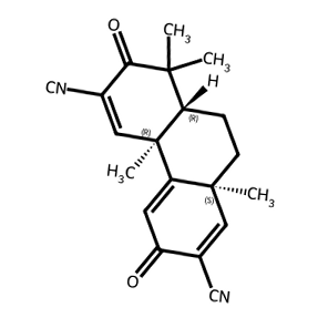 [C-]#[N+]C1=C[C@]2(C)C3=CC(=O)C(C#N)=C[C@]3(C)CC[C@H]2C(C)(C)C1=O